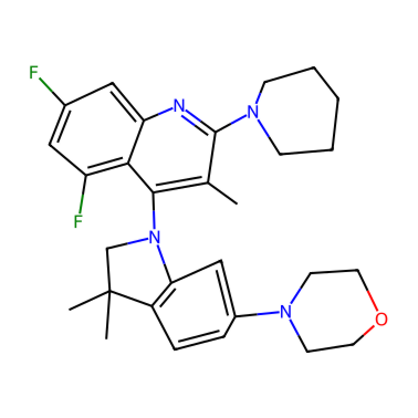 Cc1c(N2CCCCC2)nc2cc(F)cc(F)c2c1N1CC(C)(C)c2ccc(N3CCOCC3)cc21